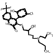 CCCN(CCC)CCCC(O)CSc1c(-c2cc(Cl)ccc2O)c2cc(C(F)(F)F)ccc2[nH]c1=O